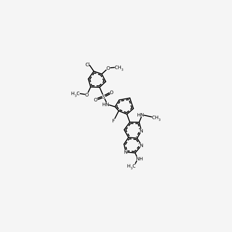 CNc1ncc2cc(-c3cccc(NS(=O)(=O)c4cc(OC)c(Cl)cc4OC)c3F)c(NC)nc2n1